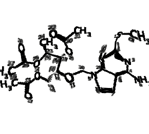 CSc1nc(N)c2ccn(CO[C@H](COC(C)=O)[C@@H](OC(C)=O)[C@H](C)OC(C)=O)c2n1